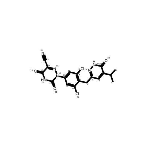 CC(C)c1cc(Cc2c(Cl)cc(-n3nc(C#N)c(=O)[nH]c3=O)cc2Cl)n[nH]c1=O